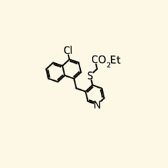 CCOC(=O)CSc1ccncc1Cc1ccc(Cl)c2ccccc12